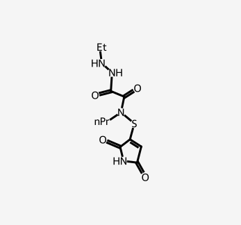 CCCN(SC1=CC(=O)NC1=O)C(=O)C(=O)NNCC